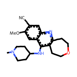 COc1cc2c(NC3CCN(C)CC3)c3c(nc2cc1C#N)CCOCC3